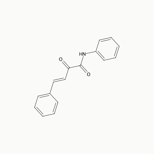 O=C(/C=C/c1ccccc1)C(=O)Nc1ccccc1